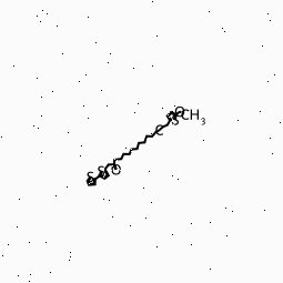 COc1ccc(CCCCCCCCCCCCCCC(=O)Cc2ccc(-c3cccs3)s2)s1